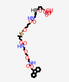 COP(=O)(O)OC[C@@H]1CC[C@H](BC#CCNC(=O)OCCCCOCSSC(C)(C)CCOC(=O)NCCOCCOCCNC(=O)OCC2c3ccccc3C3=CC=CCC32)O1